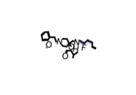 C=C/C=C\C(F)=C\NCC1(OC(C=O)C(C)C)CCN(CCc2ccccc2OC)CC1